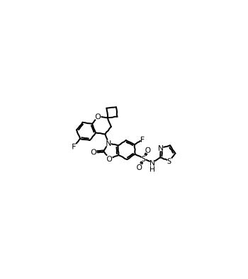 O=c1oc2cc(S(=O)(=O)Nc3nccs3)c(F)cc2n1C1CC2(CCC2)Oc2ccc(F)cc21